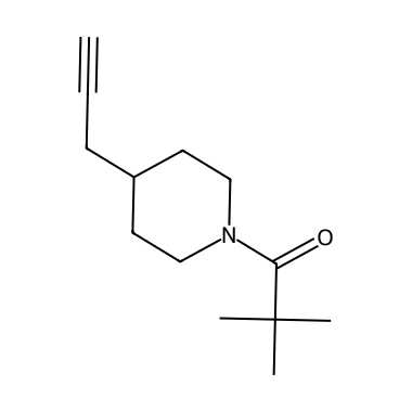 C#CCC1CCN(C(=O)C(C)(C)C)CC1